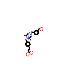 COC(=O)C=Cc1ccc(CN2[C@H](C)CN(Cc3cccc(C=O)c3)C[C@@H]2C)cc1